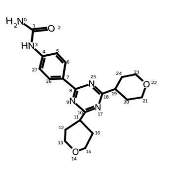 NC(=O)Nc1ccc(-c2nc(C3CCOCC3)nc(C3CCOCC3)n2)cc1